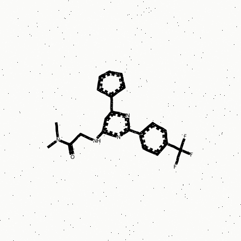 CN(C)C(=O)CNc1cc(-c2ccccc2)nc(-c2ccc(C(F)(F)F)cc2)n1